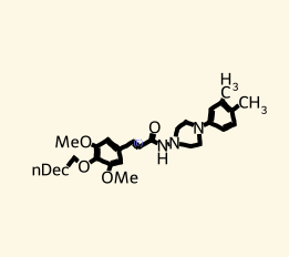 CCCCCCCCCCCOc1c(OC)cc(/C=C/C(=O)NN2CCN(c3ccc(C)c(C)c3)CC2)cc1OC